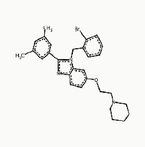 Cc1cc(C)cc(-c2nc3ccc(OCCN4CCCCC4)cc3n2Cc2ccccc2Br)c1